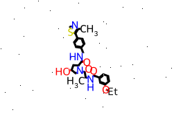 CCOc1cccc(C(=O)N[C@H](C)C(=O)N2CC(O)CC2C(=O)NCc2ccc(-c3scnc3C)cc2)c1